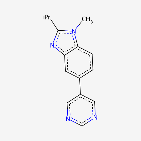 CC(C)c1nc2cc(-c3cncnc3)ccc2n1C